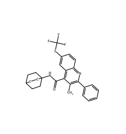 Cc1c(-c2ccccc2)nc2ccc(SC(F)(F)F)cc2c1C(=O)NC12CCC(CC1)CC2